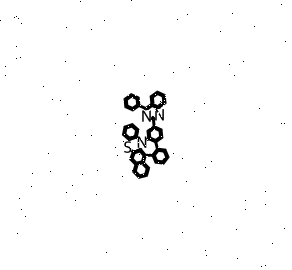 c1ccc(-c2nc(-c3ccc4c(c3)N3c5ccccc5Sc5cc6ccccc6c(c53)-c3ccccc3-4)nc3ccccc23)cc1